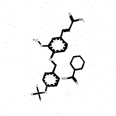 COc1cc(/C=C/C(N)=O)ccc1OCc1ccc(OC(F)(F)F)cc1.O=C(O)C1CCCCC1